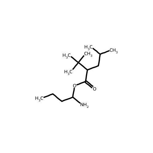 CCCC(N)OC(=O)C(CC(C)C)C(C)(C)C